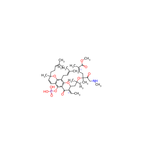 C/C=C1/C(=O)c2c(OP(=O)(O)O)c3c(c(CC=C(C)C)c2OC1CC(C)(C)OC(C)(C/C=C(/C)C(=O)OC)C(=O)CNC)OC(C)(CCC=C(C)C)C=C3